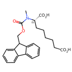 CN(C(=O)OCC1c2ccccc2-c2ccccc21)[C@@H](CCCCCC(=O)O)C(=O)O